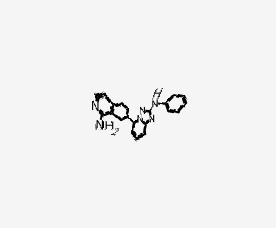 Nc1nccc2ccc(-c3cccc4nc(Nc5ccccc5)nn34)cc12